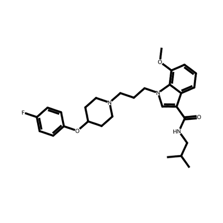 COc1cccc2c(C(=O)NCC(C)C)cn(CCCN3CCC(Oc4ccc(F)cc4)CC3)c12